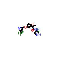 Cc1oc2ccc(OCc3cncc(C(F)(F)F)c3)cc2c1C(=O)NC1CCNCC1(F)F